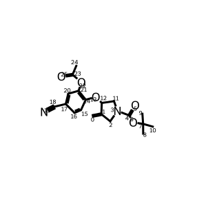 C=C1CN(C(=O)OC(C)(C)C)CC1Oc1ccc(C#N)cc1OC(C)=O